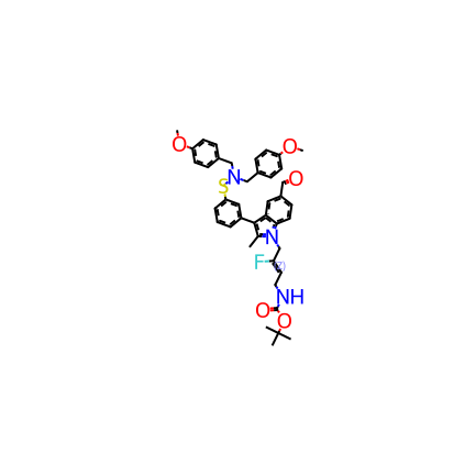 COc1ccc(CN(Cc2ccc(OC)cc2)Sc2cccc(-c3c(C)n(C/C(F)=C/CNC(=O)OC(C)(C)C)c4ccc(C=O)cc34)c2)cc1